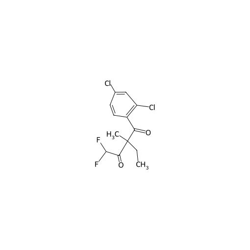 CCC(C)(C(=O)c1ccc(Cl)cc1Cl)C(=O)C(F)F